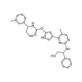 Cc1cccc(C(CO)NC(=O)Oc2cc(-c3nc(NC(CO)c4ccccc4)ncc3C)c[nH]2)c1